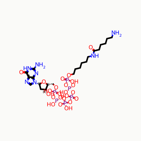 NCCCCCC(=O)NCCCCCCOP(=O)(O)OP(=O)(O)OP(=O)(O)OP(=O)(O)OP(=O)(O)OP(=O)(O)OC[C@H]1O[C@@H](n2cnc3c(=O)[nH]c(N)nc32)C[C@H]1O